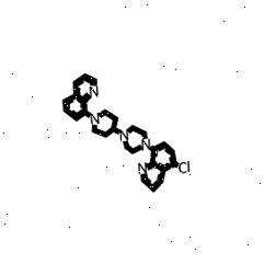 Clc1ccc(N2CCN(C3CCN(c4cccc5cccnc45)CC3)CC2)c2ncccc12